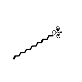 C=CCCCCCCCCC=CCCCOS(C)(=O)=O